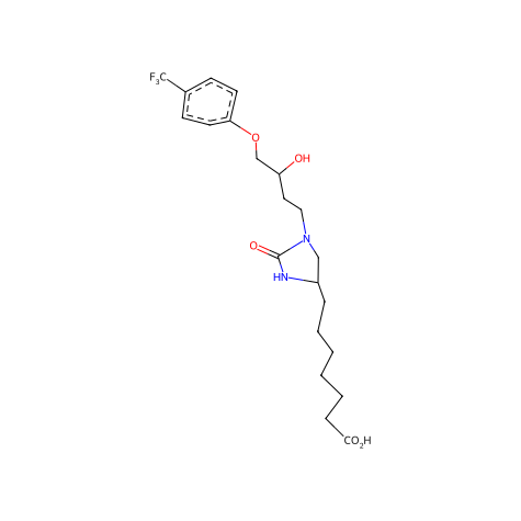 O=C(O)CCCCCCC1CN(CCC(O)COc2ccc(C(F)(F)F)cc2)C(=O)N1